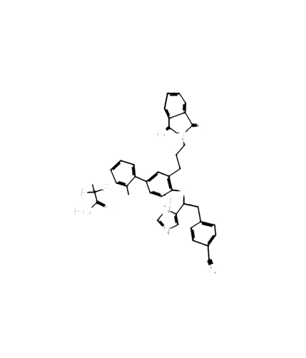 Cc1ccccc1-c1ccc(OC(Cc2ccc(C#N)cc2)c2cnc[nH]2)c(CCCN2C(=O)c3ccccc3C2=O)c1.O=C(O)C(F)(F)F